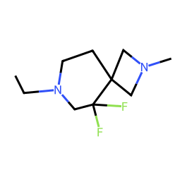 CCN1CCC2(CN(C)C2)C(F)(F)C1